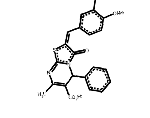 CCOC(=O)C1=C(C)N=c2sc(=Cc3ccc(OC)c(OC)c3)c(=O)n2C1c1ccccc1